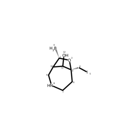 B[C@@H]1O[C@@]2(CI)CCNCC1C2O